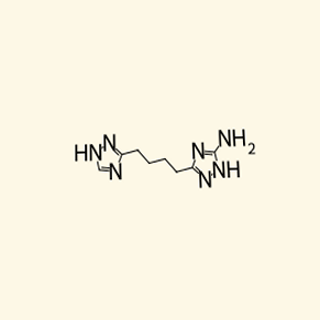 Nc1nc(CCCCc2nc[nH]n2)n[nH]1